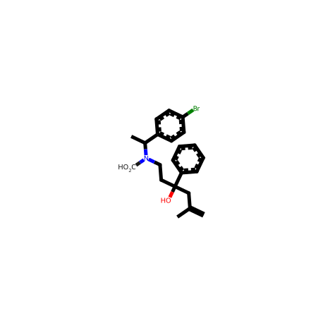 C=C(C)CC(O)(CCN(C(=O)O)C(C)c1ccc(Br)cc1)c1ccccc1